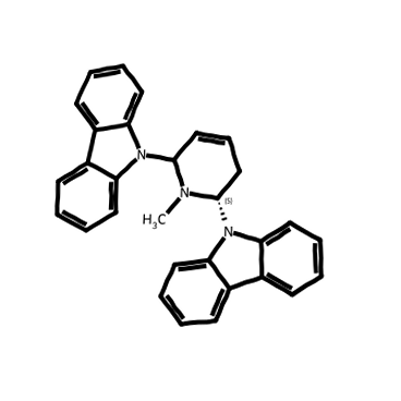 CN1C(n2c3ccccc3c3ccccc32)C=CC[C@@H]1n1c2ccccc2c2ccccc21